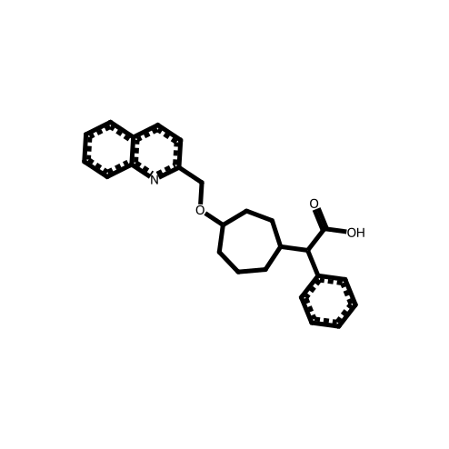 O=C(O)C(c1ccccc1)C1CCCC(OCc2ccc3ccccc3n2)CC1